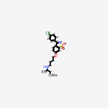 CCC(COC)NCCCCOc1ccc2c(c1)S(=O)(=O)N=C2c1ccc(Cl)cc1